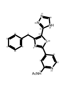 CC(=O)Nc1cc(-c2nc(Cc3ccccc3)c(-c3nnc[nH]3)s2)ccn1